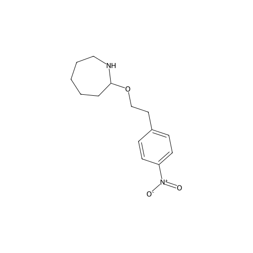 O=[N+]([O-])c1ccc(CCOC2CCCCCN2)cc1